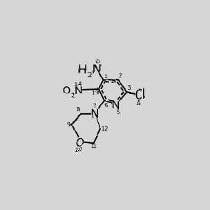 Nc1cc(Cl)nc(N2CCOCC2)c1[N+](=O)[O-]